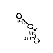 O=CCC1(CNC(=O)c2ccc(C#Cc3ccccc3P)cc2)CCCCC1